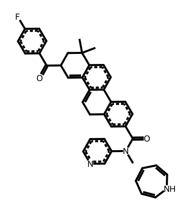 C1=CC=CNC=C1.CN(C(=O)c1ccc2c(c1)CC=c1c-2ccc2c1=CC(C(=O)c1ccc(F)cc1)CC2(C)C)c1cccnc1